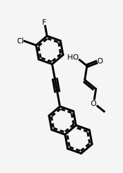 COC=CC(=O)O.Fc1ccc(C#Cc2ccc3ccccc3c2)cc1Cl